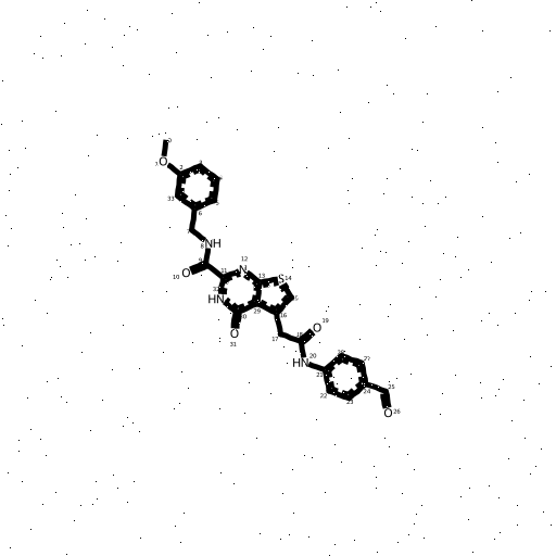 COc1cccc(CNC(=O)c2nc3scc(CC(=O)Nc4ccc(C=O)cc4)c3c(=O)[nH]2)c1